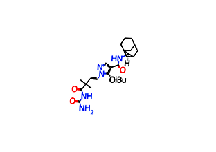 CC(C)COc1c(C(=O)N[C@@H]2C3CC4CCCC2(C4)C3)cnn1/C=C/C(C)(C)C(=O)NC(N)=O